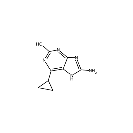 Nc1nc2nc(O)nc(C3CC3)c2[nH]1